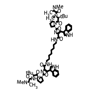 CN[C@@H](C)C(=O)N[C@H](C(=O)N1CCC[C@H]1c1nc(C(=O)NCCCCCCCCNC(=O)c2nc([C@@H]3CCCN3C(=O)[C@@H](N(C)C(=O)[C@H](C)NC)C(C)(C)C)oc2-c2c[nH]c3ccccc23)c(-c2c[nH]c3ccccc23)o1)C(C)(C)C